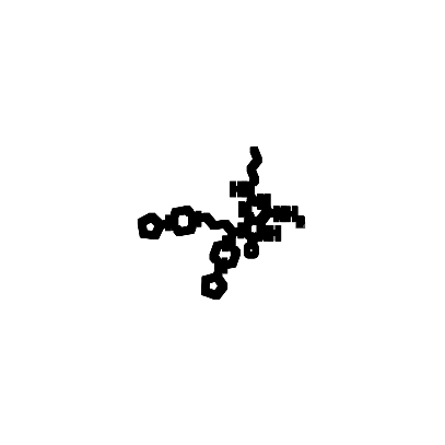 CCCCNc1nc(N)c2[nH]c(=O)n(C(CCCN3CCN(C4CCCC4)CC3)N3CCN(C4CCCC4)CC3)c2n1